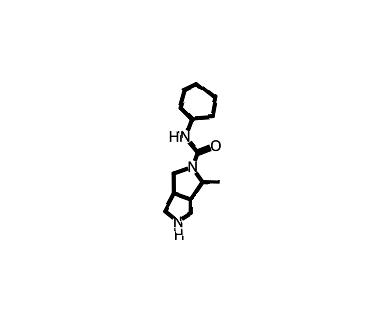 CC1C2CNCC2CN1C(=O)NC1CCCCC1